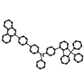 c1ccc(N(c2ccc(-c3ccc(-c4cc5ccccc5c5ccccc45)cc3)cc2)c2ccc(-c3cccc4c3-c3ccccc3C4(c3ccccc3)c3ccccc3)cc2)cc1